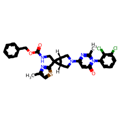 Cc1csc(C2(CNC(=O)OCc3ccccc3)[C@@H]3CN(c4cc(=O)n(-c5cccc(Cl)c5Cl)c(C)n4)C[C@@H]32)n1